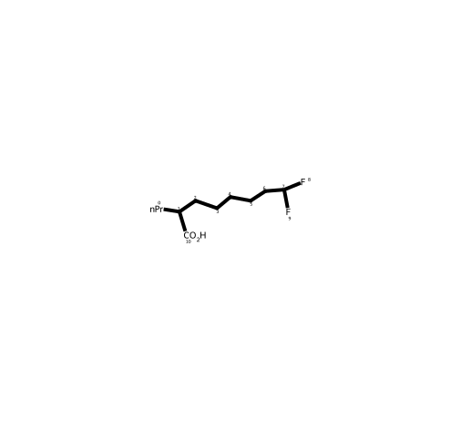 CCCC(CCCCCC(F)F)C(=O)O